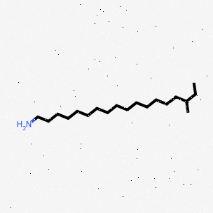 CCC(C)CCCCCCCCCCCCCCCN